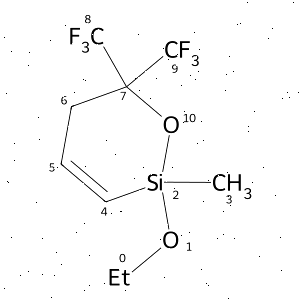 CCO[Si]1(C)C=CCC(C(F)(F)F)(C(F)(F)F)O1